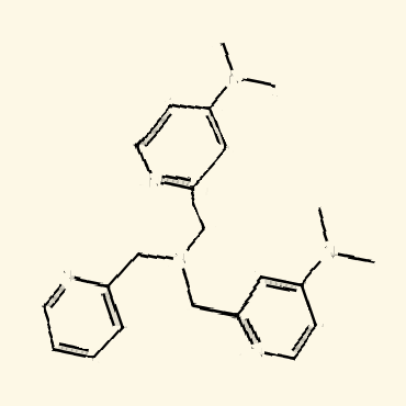 CN(C)c1ccnc(CN(Cc2ccccn2)Cc2cc(N(C)C)ccn2)c1